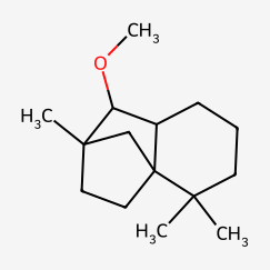 COC1C2CCCC(C)(C)C23CCC1(C)C3